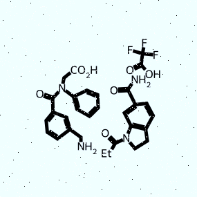 CCC(=O)N1CCc2ccc(C(N)=O)cc21.NCc1cccc(C(=O)N(CC(=O)O)c2ccccc2)c1.O=C(O)C(F)(F)F